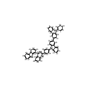 C1=CC(n2c3ccccc3c3cc(-c4ccc5c(c4)c4ccccc4n5-c4ccc(-c5nc(C6=C7Sc8ccccc8C7CC=C6)c6ccccc6n5)cc4)ccc32)=CCC1